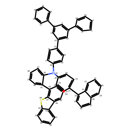 c1ccc(-c2cc(-c3ccccc3)cc(-c3ccc(N(c4ccc(-c5cccc6ccccc56)cc4)c4ccccc4-c4cccc5c4sc4ccccc45)cc3)c2)cc1